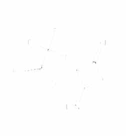 C=C1CC(N)C1.O=C(O)C(F)(F)F